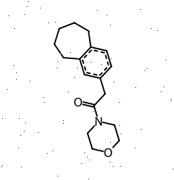 O=C(Cc1ccc2c(c1)CCCCC2)N1CCOCC1